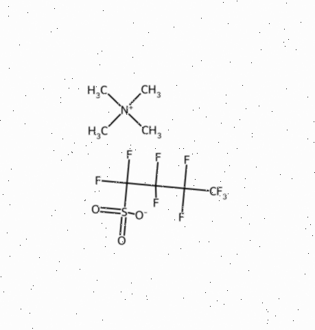 C[N+](C)(C)C.O=S(=O)([O-])C(F)(F)C(F)(F)C(F)(F)C(F)(F)F